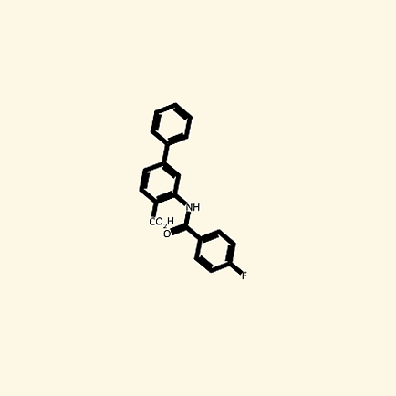 O=C(Nc1cc(-c2ccccc2)ccc1C(=O)O)c1ccc(F)cc1